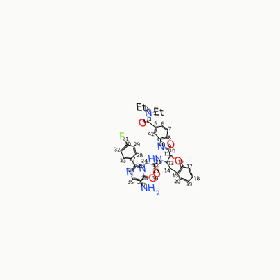 CCN(CC)C(=O)c1ccc2oc(C(=O)C(Cc3ccccc3)NC(=O)Cn3c(-c4ccc(F)cc4)ncc(N)c3=O)nc2c1